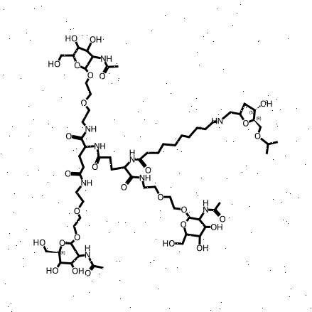 CC(=O)NC1C(OCCOCCNC(=O)C(CCC(=O)NCCOCCOC2O[C@H](CO)C(O)C(O)C2NC(C)=O)NC(=O)CCC(NC(=O)CCCCCCCCCNCC2C[C@H](O)[C@@H](COC(C)C)O2)C(=O)NCCOCCOC2OC(CO)C(O)C(O)C2NC(C)=O)OC(CO)C(O)C1O